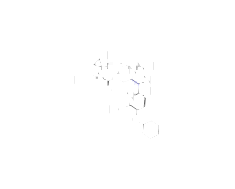 Cc1nc(/C(N)=C(\COC(=O)N(C)C2(C)CC2)N(C)N)ccc1OC1CCCCC1